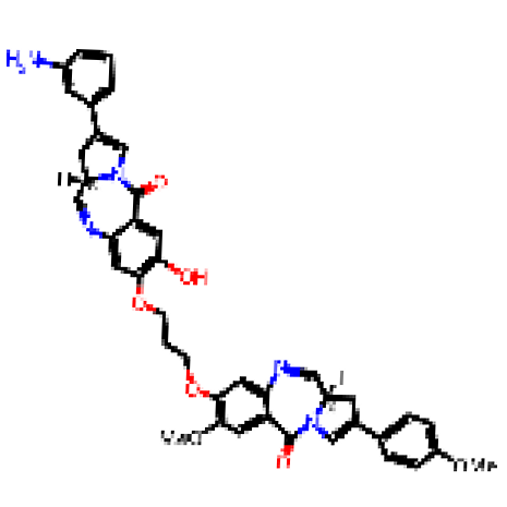 COc1ccc(C2=CN3C(=O)c4cc(OC)c(OCCCOc5cc6c(cc5O)C(=O)N5C=C(c7cccc(N)c7)C[C@H]5C=N6)cc4N=C[C@@H]3C2)cc1